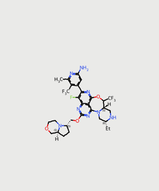 CC[C@@H]1CN2c3nc(OC[C@@H]4CC[C@H]5COCCN54)nc4c(F)c(-c5cc(N)nc(C)c5C(F)(F)F)nc(c34)OC(C(F)(F)F)[C@@H]2CN1